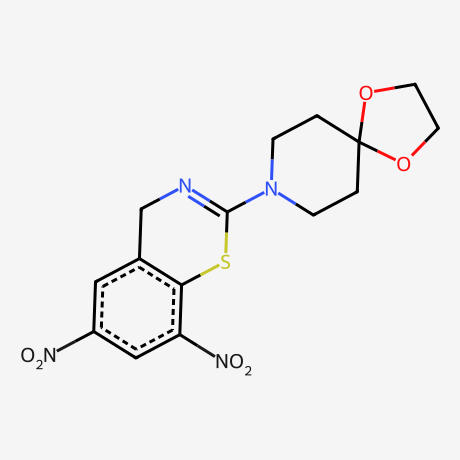 O=[N+]([O-])c1cc2c(c([N+](=O)[O-])c1)SC(N1CCC3(CC1)OCCO3)=NC2